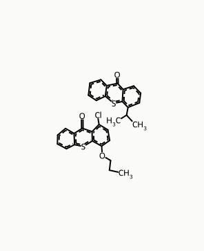 CC(C)c1cccc2c(=O)c3ccccc3sc12.CCCOc1ccc(Cl)c2c(=O)c3ccccc3sc12